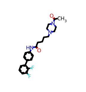 CC(=O)N1CCN(CCCCC(=O)Nc2ccc(-c3cccc(F)c3F)cc2)CC1